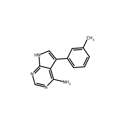 Cc1cccc(-c2c[nH]c3ncnc(N)c23)c1